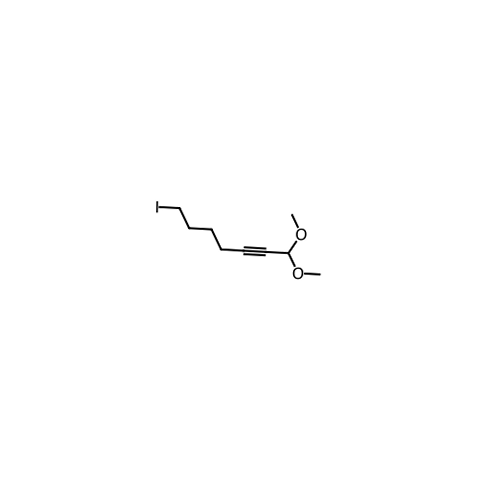 COC(C#CCCCCI)OC